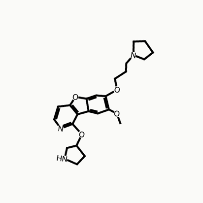 COc1cc2c(cc1OCCCN1CCCC1)oc1ccnc(OC3CCNC3)c12